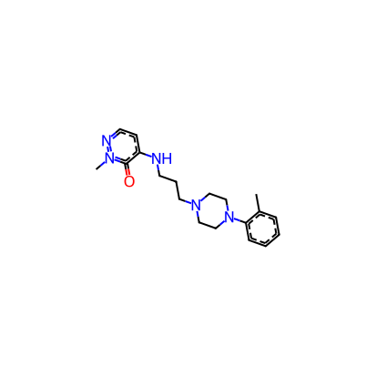 Cc1ccccc1N1CCN(CCCNc2ccnn(C)c2=O)CC1